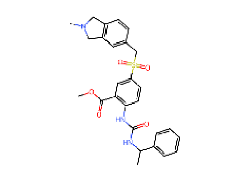 COC(=O)c1cc(S(=O)(=O)Cc2ccc3c(c2)CN(C)C3)ccc1NC(=O)NC(C)c1ccccc1